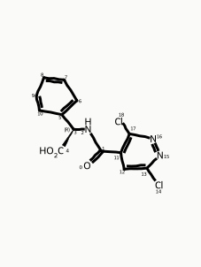 O=C(N[C@@H](C(=O)O)c1ccccc1)c1cc(Cl)nnc1Cl